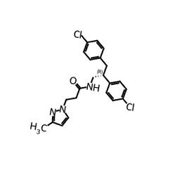 Cc1ccn(CCC(=O)NC[C@H](Cc2ccc(Cl)cc2)c2ccc(Cl)cc2)n1